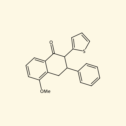 COc1cccc2c1CC(c1ccccc1)C(c1cccs1)C2=O